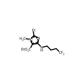 CCOC(=O)c1c(NCCCC(F)(F)F)nc(CC)n1C